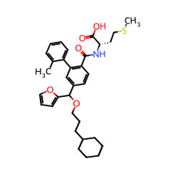 CSCC[C@H](NC(=O)c1ccc(C(OCCCC2CCCCC2)c2ccco2)cc1-c1ccccc1C)C(=O)O